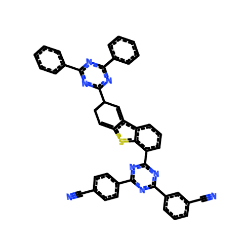 N#Cc1ccc(-c2nc(-c3cccc(C#N)c3)nc(-c3cccc4c5c(sc34)=CCC(c3nc(-c4ccccc4)nc(-c4ccccc4)n3)C=5)n2)cc1